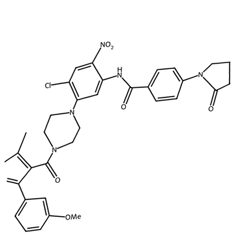 COc1cccc(-c2noc(C)c2C(=O)N2CCN(c3cc(NC(=O)c4ccc(N5CCCC5=O)cc4)c([N+](=O)[O-])cc3Cl)CC2)c1